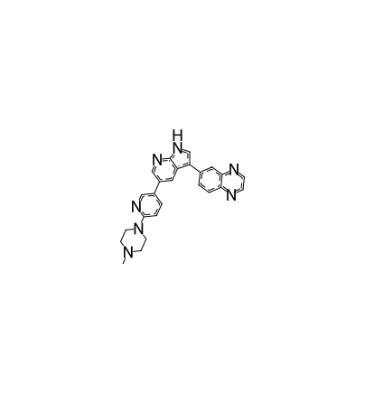 CN1CCN(c2ccc(-c3cnc4[nH]cc(-c5ccc6nccnc6c5)c4c3)cn2)CC1